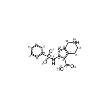 O=C(O)c1c(NS(=O)(=O)c2ccccc2)sc2c1CCNC2